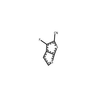 N#Cc1sc2sccc2c1F